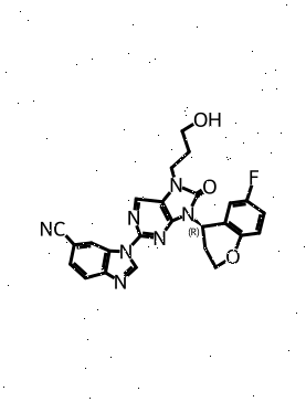 N#Cc1ccc2ncn(-c3ncc4c(n3)n([C@@H]3CCOc5ccc(F)cc53)c(=O)n4CCCO)c2c1